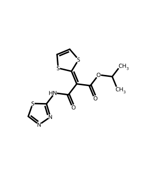 CC(C)OC(=O)C(C(=O)Nc1nncs1)=C1SC=CS1